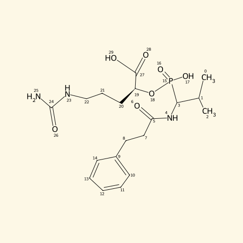 CC(C)C(NC(=O)CCc1ccccc1)P(=O)(O)O[C@@H](CCCNC(N)=O)C(=O)O